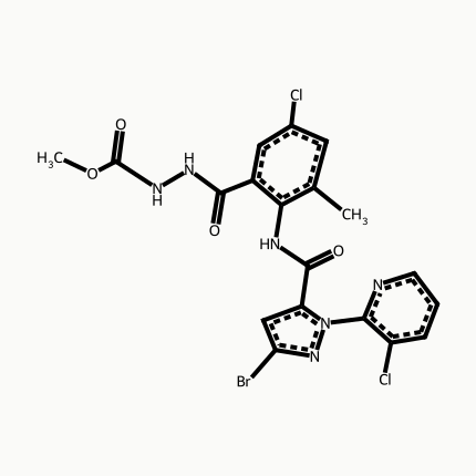 COC(=O)NNC(=O)c1cc(Cl)cc(C)c1NC(=O)c1cc(Br)nn1-c1ncccc1Cl